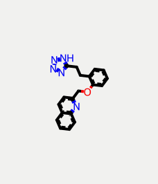 c1ccc(OCc2ccc3ccccc3n2)c(CCc2nnn[nH]2)c1